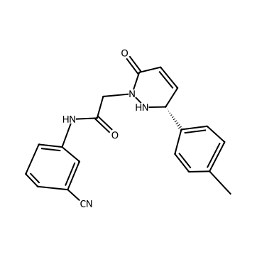 Cc1ccc([C@H]2C=CC(=O)N(CC(=O)Nc3cccc(C#N)c3)N2)cc1